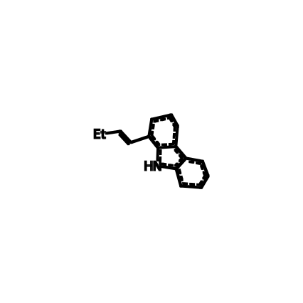 CCC=Cc1cccc2c1[nH]c1ccccc12